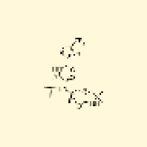 CC(C)(F)C[C@H](NC(=O)c1ccc(C(F)(F)F)[nH]1)C(=O)N[C@H](C#N)C[C@@H]1CC(C)(C)NC1=O